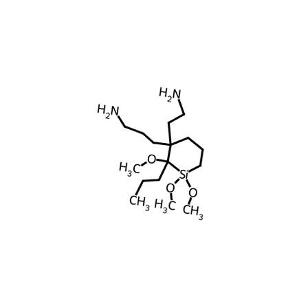 CCCC1(OC)C(CCN)(CCCN)CCC[Si]1(OC)OC